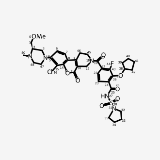 COC[C@H]1CN(c2ccc3c4c(c(=O)oc3c2Cl)CN(C(=O)c2ccc(C(=O)NS(=O)(=O)N3CCCC3)c(OC3CCCC3)c2F)CC4)CCN1C